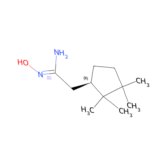 CC1(C)CC[C@H](C/C(N)=N/O)C1(C)C